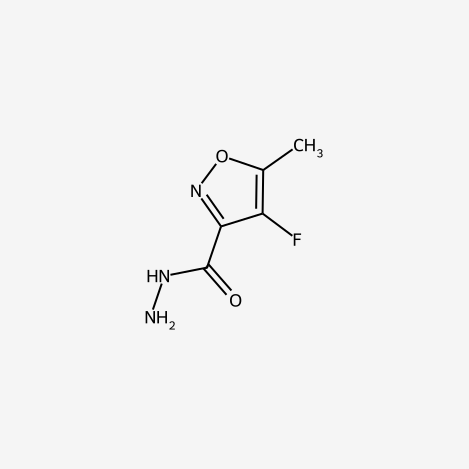 Cc1onc(C(=O)NN)c1F